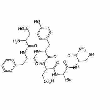 CC(C)(C)C(NC(=O)C(CC(=O)O)NC(=O)C(Cc1ccc(O)cc1)NC(=O)C(Cc1ccccc1)NC(=O)C(N)CC(=O)O)C(=O)NC(CS)C(N)=O